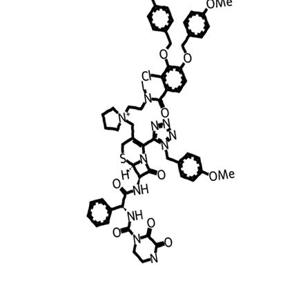 CCN1CCN(C(=O)N[C@@H](C(=O)N[C@@H]2C(=O)N3C(c4nnnn4Cc4ccc(OC)cc4)=C(C[N+]4(CCN(I)C(=O)c5ccc(OCc6ccc(OC)cc6)c(OCc6ccc(OC)cc6)c5Cl)CCCC4)CS[C@H]23)c2ccccc2)C(=O)C1=O